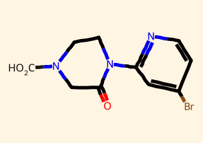 O=C(O)N1CCN(c2cc(Br)ccn2)C(=O)C1